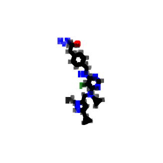 CC(C)n1nc(C2CC2)cc1CN(c1ncnc(NCc2ccc(CC(N)=O)cc2)c1F)C1CC1